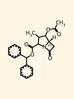 CC(=O)OC1C(C)C(C(=O)OC(c2ccccc2)c2ccccc2)N2C(=O)C[C@@H]12